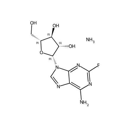 N.Nc1nc(F)nc2c1ncn2[C@@H]1O[C@H](CO)[C@@H](O)[C@@H]1O